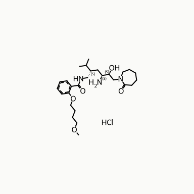 COCCCCOc1ccccc1C(=O)NC[C@@H](C[C@H](N)[C@@H](O)CN1CCCCCC1=O)C(C)C.Cl